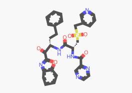 O=C(N[C@@H](CS(=O)(=O)Cc1cccnc1)C(=O)N[C@@H](CCc1ccccc1)C(=O)c1nc2ccccc2o1)c1cnccn1